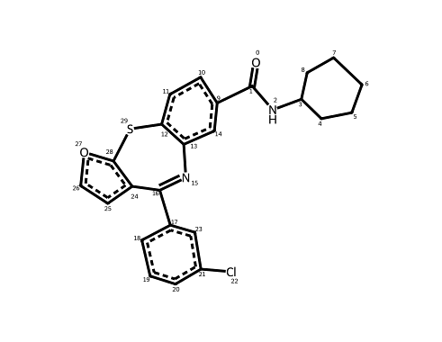 O=C(NC1CCCCC1)c1ccc2c(c1)N=C(c1cccc(Cl)c1)c1ccoc1S2